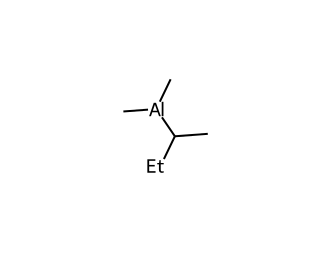 CC[CH](C)[Al]([CH3])[CH3]